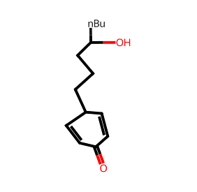 CCCCC(O)CCCC1C=CC(=O)C=C1